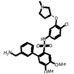 COc1cc(-c2cccc(CN)c2)c(S(=O)(=O)Nc2ccc(Cl)c(O[C@@H]3CCN(C)C3)c2)cc1OC